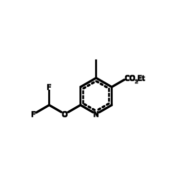 CCOC(=O)c1cnc(OC(F)F)cc1C